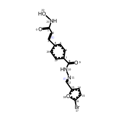 O=C(/C=C/c1ccc(C(=O)N/N=C/c2ccc(Br)o2)cc1)NO